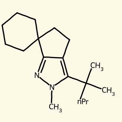 CCCC(C)(C)c1c2c(nn1C)C1(CCCCC1)CC2